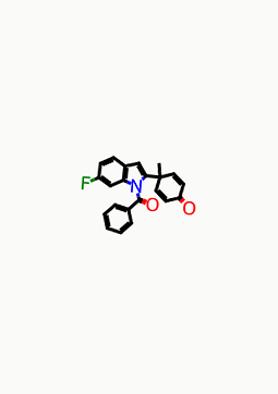 CC1(c2cc3ccc(F)cc3n2C(=O)c2ccccc2)C=CC(=O)C=C1